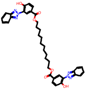 O=C(OCCCCCCCCCCCCOC(=O)c1ccc(O)c(-n2nc3ccccc3n2)c1)c1ccc(O)c(-n2nc3ccccc3n2)c1